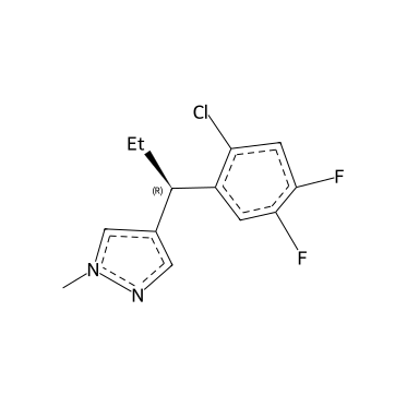 CC[C@H](c1cnn(C)c1)c1cc(F)c(F)cc1Cl